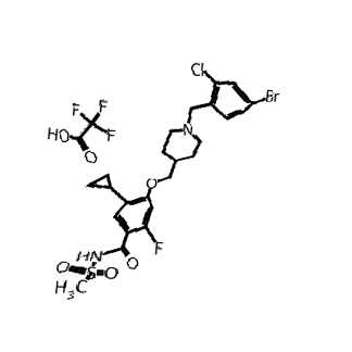 CS(=O)(=O)NC(=O)c1cc(C2CC2)c(OCC2CCN(Cc3ccc(Br)cc3Cl)CC2)cc1F.O=C(O)C(F)(F)F